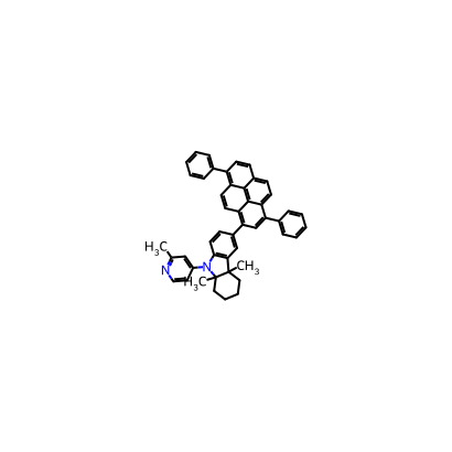 Cc1cc(N2c3ccc(-c4cc(-c5ccccc5)c5ccc6ccc(-c7ccccc7)c7ccc4c5c67)cc3C3(C)CCCCC23C)ccn1